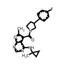 Cc1oc2ncnc(NC3(C)CC3)c2c1C(=O)N1CCC(c2ccc(F)cc2)C1